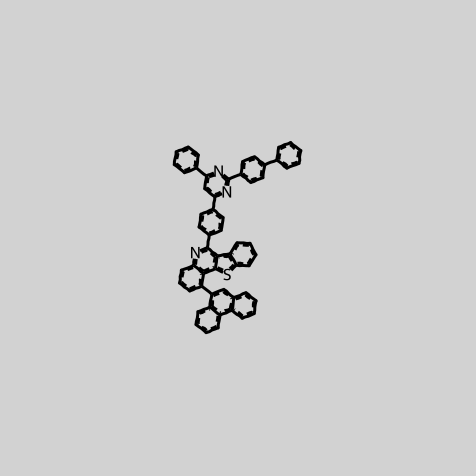 c1ccc(-c2ccc(-c3nc(-c4ccccc4)cc(-c4ccc(-c5nc6cccc(-c7cc8ccccc8c8ccccc78)c6c6sc7ccccc7c56)cc4)n3)cc2)cc1